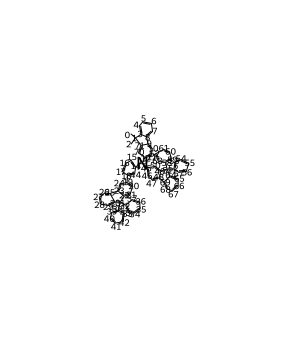 CC1(C)c2ccccc2-c2ccc(N(c3cccc(-c4ccc5c(c4)-c4ccccc4C5(c4ccccc4)c4ccccc4)c3)c3ccc4c(c3)C(c3ccccc3)(c3ccccc3)c3ccccc3-4)cc21